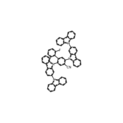 N#Cc1cc(-n2c3ccccc3c3ccc(-n4c5ccccc5c5ccccc54)cc32)c(-c2c(F)cccc2F)cc1-n1c2ccccc2c2ccc(-n3c4ccccc4c4ccccc43)cc21